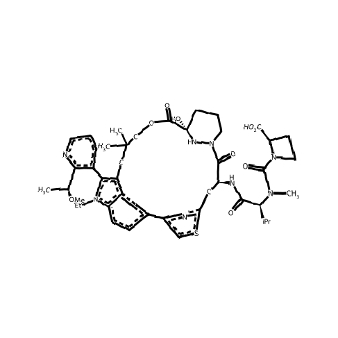 CCn1c(-c2cccnc2[C@H](C)OC)c2c3cc(ccc31)-c1csc(n1)C[C@H](NC(=O)[C@H](C(C)C)N(C)C(=O)N1CCC1C(=O)O)C(=O)N1CCC[C@@](O)(N1)C(=O)OCC(C)(C)C2